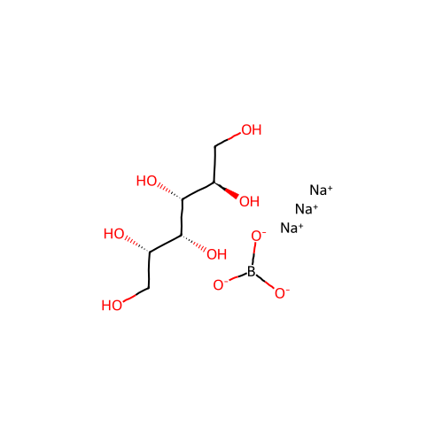 OC[C@@H](O)[C@@H](O)[C@H](O)[C@@H](O)CO.[Na+].[Na+].[Na+].[O-]B([O-])[O-]